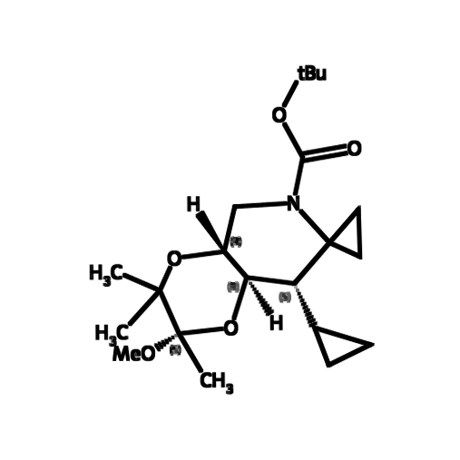 CO[C@@]1(C)O[C@@H]2[C@@H](C3CC3)C3(CC3)N(C(=O)OC(C)(C)C)C[C@H]2OC1(C)C